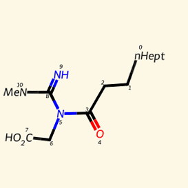 CCCCCCCCCC(=O)N(CC(=O)O)C(=N)NC